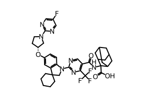 O=C(NC1(C(=O)O)C2CC3CC(C2)CC1C3)c1cnc(N2CC3(CCCCC3)c3cc(O[C@@H]4CCN(c5ncc(F)cn5)C4)ccc32)nc1C(F)(F)F